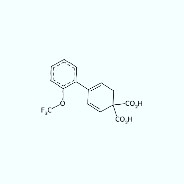 O=C(O)C1(C(=O)O)C=CC(c2ccccc2OC(F)(F)F)=CC1